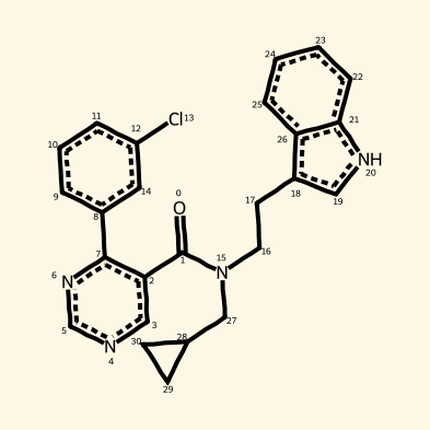 O=C(c1cncnc1-c1cccc(Cl)c1)N(CCc1c[nH]c2ccccc12)CC1CC1